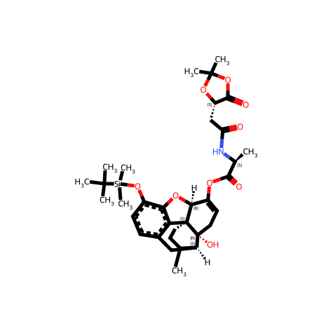 CC1CC[C@]23c4c5ccc(O[Si](C)(C)C(C)(C)C)c4O[C@H]2C(OC(=O)[C@H](C)NC(=O)C[C@@H]2OC(C)(C)OC2=O)=CC[C@@]3(O)[C@H]1C5